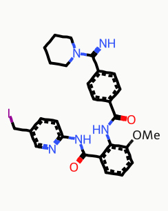 COc1cccc(C(=O)Nc2ccc(CI)cn2)c1NC(=O)c1ccc(C(=N)N2CCCCC2)cc1